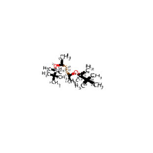 CC(O[Si](C)(C)C(C)(C)C)SSC(C)O[Si](C)(C)C(C)(C)C